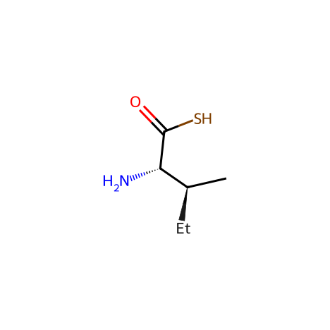 CC[C@H](C)[C@H](N)C(=O)S